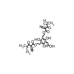 CC(C)C(=O)C(=[N+]=[N-])C(=O)OCCN1C(O)N(CCO)C(O)N(CCOC(=O)C(=[N+]=[N-])C(=O)C(C)C)C1O